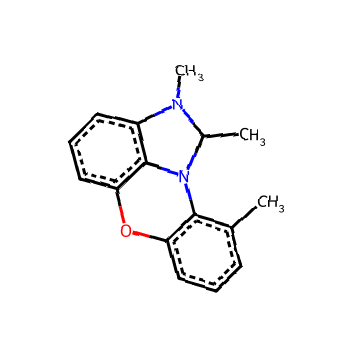 Cc1cccc2c1N1c3c(cccc3N(C)C1C)O2